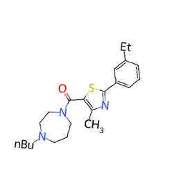 CCCCN1CCCN(C(=O)c2sc(-c3cccc(CC)c3)nc2C)CC1